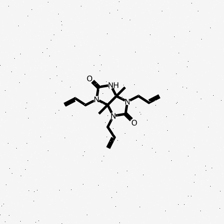 C=CCN1C(=O)N(CC=C)C2(C)N(CC=C)C(=O)NC12C